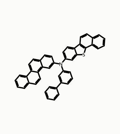 c1ccc(-c2cccc(N(c3ccc4c(c3)sc3c5ccccc5ccc43)c3ccc4ccc5c6ccccc6ccc5c4c3)c2)cc1